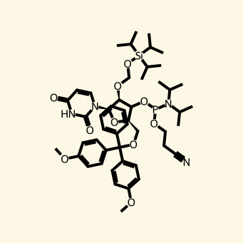 COc1ccc(C(OC[C@H]2O[C@@H](n3ccc(=O)[nH]c3=O)[C@@H](OCO[Si](C(C)C)(C(C)C)C(C)C)C2OP(OCCC#N)N(C(C)C)C(C)C)(c2ccccc2)c2ccc(OC)cc2)cc1